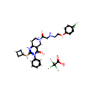 O=C(CNCCOc1ccc(F)cc1)N1CCc2nc(SC3CCC3)n(-c3ccccc3)c(=O)c2C1.O=C(O)C(F)(F)F